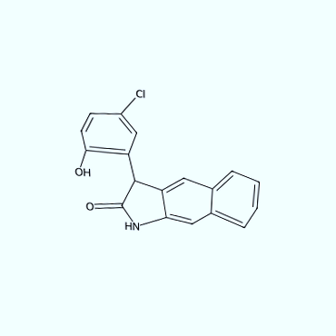 O=C1Nc2cc3ccccc3cc2C1c1cc(Cl)ccc1O